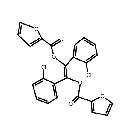 O=C(O/C(=C(/OC(=O)c1ccco1)c1ccccc1Cl)c1ccccc1Cl)c1ccco1